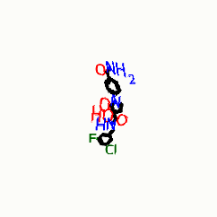 NC(=O)c1ccc(N2CC[C@](O)(C(=O)NCc3cc(F)cc(Cl)c3)C2=O)cc1